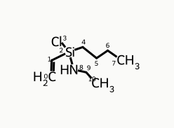 C=C[Si](Cl)(CCCC)NCC